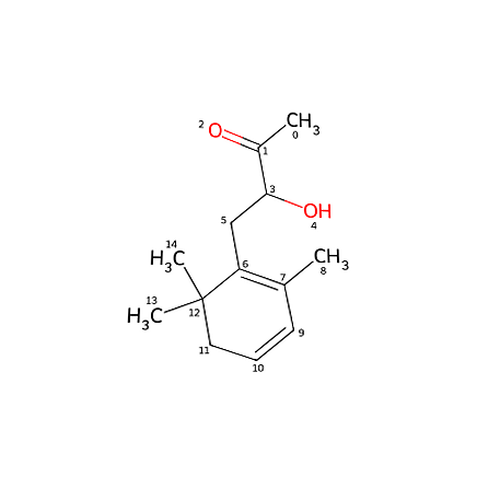 CC(=O)C(O)CC1=C(C)C=CCC1(C)C